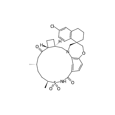 C[C@H]1CC[C@H](C)S(=O)(=O)NC(=O)c2ccc3c(c2)N(C[C@@H]2CC[C@H]2C(=O)C1)C[C@@]1(CCCc2cc(Cl)ccc21)CO3